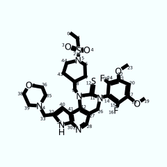 CCS(=O)(=O)N1CCC(CN2C(=S)N(c3c(F)c(OC)cc(OC)c3F)Cc3cnc4[nH]c(CN5CCOCC5)cc4c32)CC1